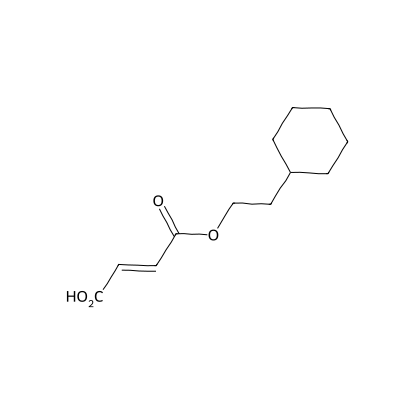 O=C(O)/C=C/C(=O)OCCC1CCCCC1